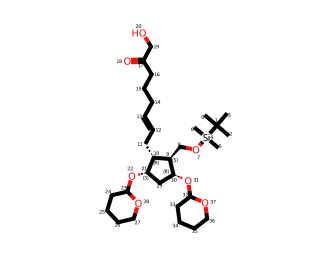 CC(C)(C)[Si](C)(C)OC[C@@H]1[C@@H](CC=CCCCC(=O)CO)[C@@H](OC2CCCCO2)C[C@H]1OC1CCCCO1